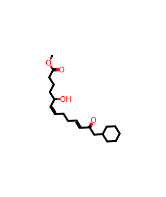 COC(=O)CCCC(O)/C=C\CC/C=C/C(=O)CC1CCCCC1